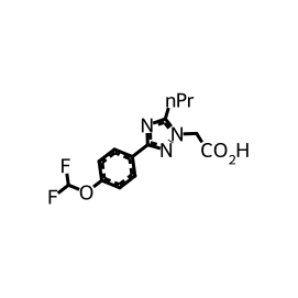 CCCc1nc(-c2ccc(OC(F)F)cc2)nn1CC(=O)O